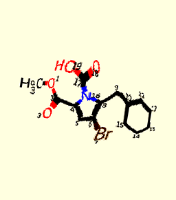 COC(=O)c1cc(Br)c(CC2CCCCC2)n1C(=O)O